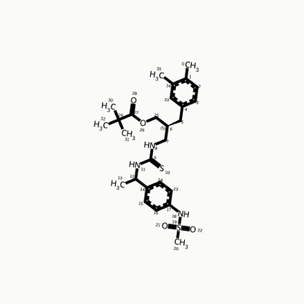 Cc1ccc(C[C@@H](CNC(=S)NC(C)c2ccc(NS(C)(=O)=O)cc2)COC(=O)C(C)(C)C)cc1C